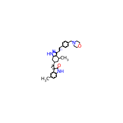 Cc1ccc2c(c1)[C@]1(C[C@H]1C1Cc3[nH]nc(/C=C/c4ccc(CN5CCOCC5)cc4)c3C(C)C1)C(=O)N2